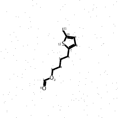 O=COCCCCc1ccc(I)s1